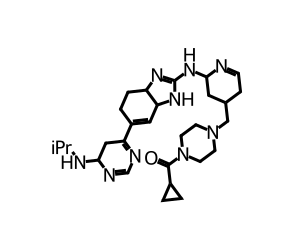 CC(C)NC1CC(C2=CC3NC(NC4CC(CN5CCN(C(=O)C6CC6)CC5)CC=N4)=NC3CC2)=NC=N1